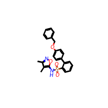 Cc1noc(NS(=O)(=O)c2ccccc2-c2ccc(OCc3ccccc3)cc2)c1C